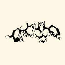 COc1ncnc(OC)c1-n1c(NSC(C)C(C)c2ncc(Cl)cn2)nnc1-c1cccnc1